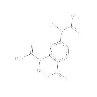 NC(=O)N(N)c1ccc([N+](=O)[O-])c(N(N)C(N)=O)n1